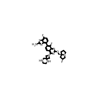 Nc1nc2c(-c3ccc4c(N5CC6(CNCCN6)C5)nc(OC[C@@]56CCCN5C[C@H](F)C6)nc4c3F)ccc(F)c2s1